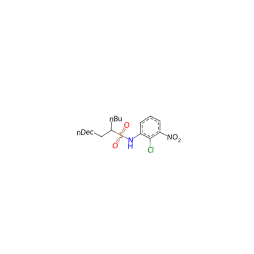 CCCCCCCCCCCC(CCCC)S(=O)(=O)Nc1cccc([N+](=O)[O-])c1Cl